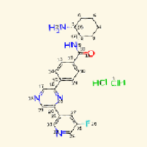 Cl.Cl.N[C@@H]1CCCC[C@@H]1NC(=O)c1ccc(-c2cncc(-c3cncc(F)c3)n2)cc1